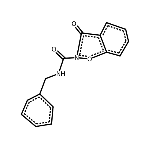 O=C(NCc1ccccc1)n1oc2ccccc2c1=O